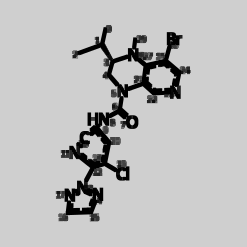 CC(C)[C@@H]1CN(C(=O)Nc2cnc(-n3nccn3)c(Cl)c2)c2cncc(Br)c2N1C